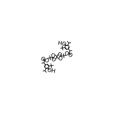 CC(C)c1cc(C(C)C(=O)OCC(C)(C)C2OCC3(CO2)COC(C(C)(C)COC(=O)C(C)c2cc(C(C)C)c(O)c(C(C)(C)C)c2)OC3)cc(C(C)(C)C)c1O